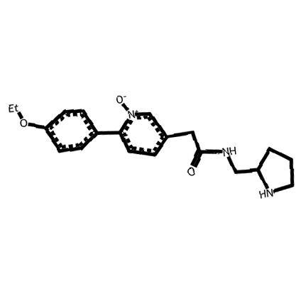 CCOc1ccc(-c2ccc(CC(=O)NCC3CCCN3)c[n+]2[O-])cc1